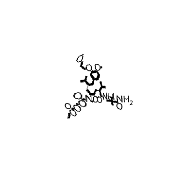 CCOC(=O)OCOC(=O)N1COC(C[C@H](C(=O)NCC(C)(C)C(N)=O)C(C)C)C1C[C@@H](Cc1ccc(OC)c(OCCCOC)c1)C(C)C